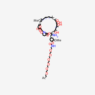 CO[C@H]1C[C@@H]2CC[C@@H](C)[C@@](O)(O2)C(=O)C(=O)N2CCCC[C@H]2C(=O)O[C@H]([C@H](N)C[C@@H]2CC[C@@H](OC(=O)NCCOCCOCCOCCOCCOCCOCCC(C)=O)[C@H](OC)C2)C[C@@H](O)[C@H](C)/C=C(\C)[C@@H](O)[C@@H](O)C(=O)[C@H](C)C[C@H](C)/C=C/C=C/C=C/1C